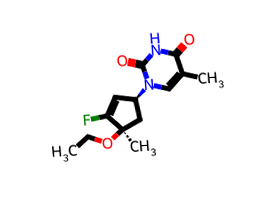 CCO[C@]1(C)C[C@H](n2cc(C)c(=O)[nH]c2=O)C=C1F